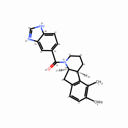 COc1ccc2c(c1C)[C@@H]1CCCN(C(=O)c3ccc4[nH]cnc4c3)[C@@H]1C2